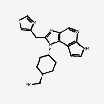 N#CC[C@H]1CC[C@H](n2c(Cc3cscn3)nc3cnc4[nH]ccc4c32)CC1